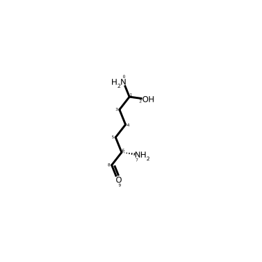 NC(O)CCC[C@H](N)C=O